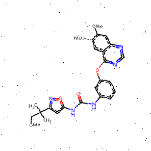 COCC(C)(C)c1cc(NC(=O)Nc2cccc(Oc3ncnc4cc(OC)c(OC)cc34)c2)on1